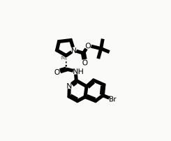 CC(C)(C)OC(=O)N1CCC[C@H]1C(=O)Nc1nccc2cc(Br)ccc12